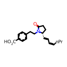 CCC/C=C\C=C\[C@H]1CCC(=O)N1CCc1ccc(C(=O)O)cc1